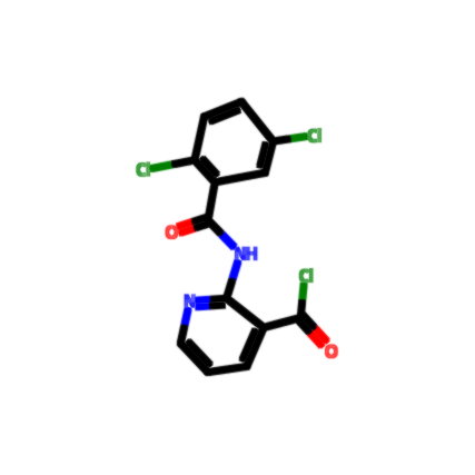 O=C(Nc1ncccc1C(=O)Cl)c1cc(Cl)ccc1Cl